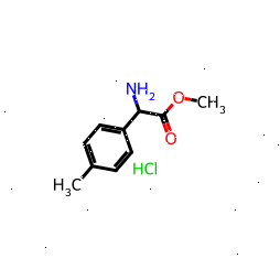 COC(=O)C(N)c1ccc(C)cc1.Cl